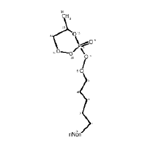 CCCCCCCCCCCCCCOOP1(=O)OOCC(C)O1